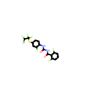 O=C(NC(=O)c1c(F)cccc1F)Nc1ccc(SC(F)(F)C(F)Cl)cc1F